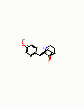 COc1ccc(/C=C2/C(=O)C3CCN2CC3)cc1